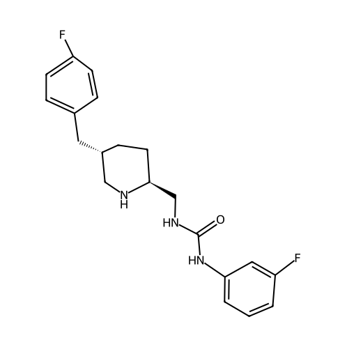 O=C(NC[C@@H]1CC[C@@H](Cc2ccc(F)cc2)CN1)Nc1cccc(F)c1